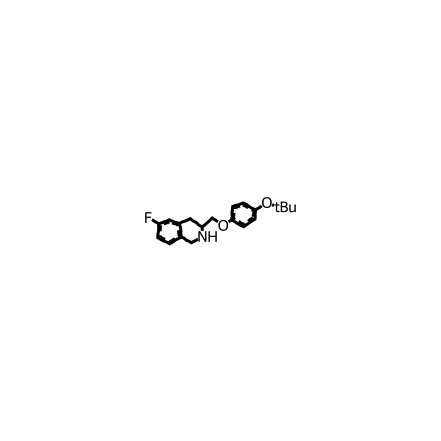 CC(C)(C)Oc1ccc(OCC2Cc3cc(F)ccc3CN2)cc1